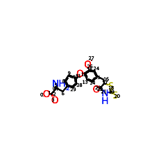 COC(=O)[C@@H](N)Cc1ccc(Oc2ccc(CC3SC(=S)NC3=O)cc2OC)cc1